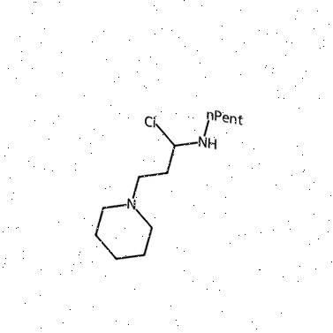 CCCCCNC(Cl)CCN1CCCCC1